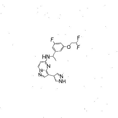 CC(Nc1ccn2ncc(-c3cn[nH]c3)c2n1)c1cc(F)cc(OCC(F)F)c1